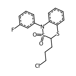 O=S1(=O)C(CCCCl)Sc2ccccc2N1c1cccc(F)c1